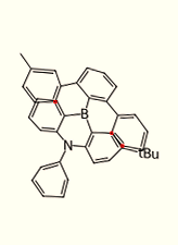 Cc1cccc(-c2cccc(-c3ccccc3)c2B2c3ccccc3N(c3ccccc3)c3ccc(C(C)(C)C)cc32)c1